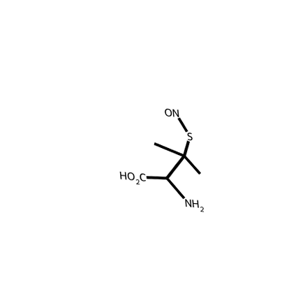 CC(C)(SN=O)C(N)C(=O)O